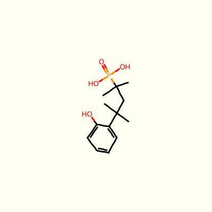 CC(C)(CC(C)(C)P(=O)(O)O)c1ccccc1O